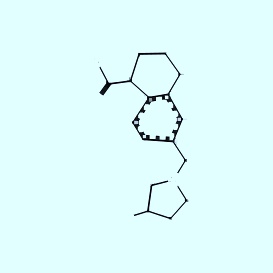 NC(=O)C1[C]CCc2cc(CN3CCC(O)C3)ccc21